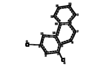 Clc1[c]c(Cl)c2ccc3c[c]ccc3c2c1